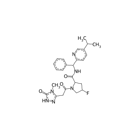 CC(C)c1ccc(C(NC(=O)C2CC(F)CN2C(=O)Cc2n[nH]c(=O)n2C)c2ccccc2)nc1